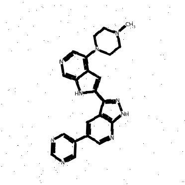 CN1CCN(c2cncc3[nH]c(-c4n[nH]c5ncc(-c6cncnc6)cc45)cc23)CC1